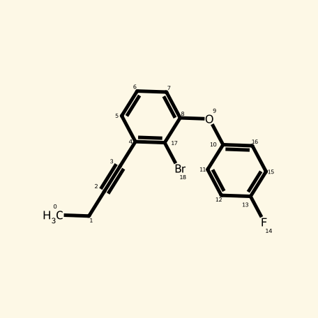 CCC#Cc1cccc(Oc2ccc(F)cc2)c1Br